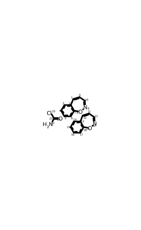 C1=Cc2ccccc2ON=C1.C1=Cc2ccccc2ON=C1.NC(=O)Cl